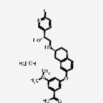 CN(C)c1cc(Oc2ccc3c(c2)C[C@@H](NC[C@H](O)c2ccc(Cl)nc2)CC3)cc(C(=O)O)c1.Cl.Cl